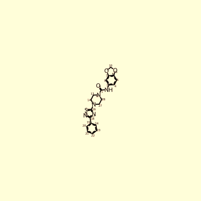 O=C(Nc1ccc2c(c1)OCO2)N1CCN(c2nc(-c3ccccc3)ns2)CC1